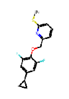 CC(C)Sc1cccc(COc2c(F)cc(C3CC3)cc2F)n1